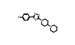 Fc1ccc(-c2nnc(N3CCC(N4CCCCC4)CC3)s2)cc1